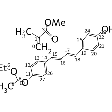 C=C(C)C(=O)OC.CCOC(C)Oc1ccc(C=CC=Cc2ccc(O)cc2)cc1